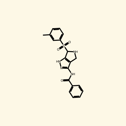 Cc1cccc(S(=O)(=O)C2NCc3c(NC(=O)c4ccccc4)n[nH]c32)c1